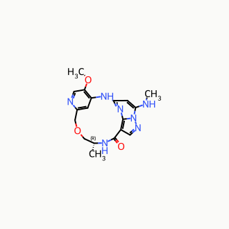 CNc1cc2nc3c(cnn13)C(=O)N[C@H](C)COCc1cc(c(OC)cn1)N2